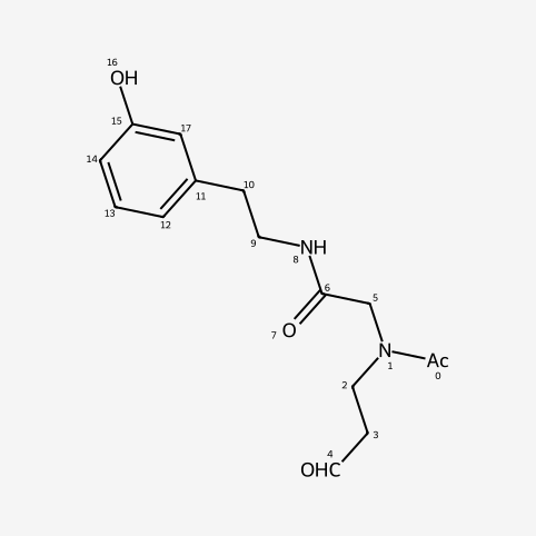 CC(=O)N(CCC=O)CC(=O)NCCc1cccc(O)c1